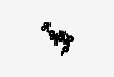 CC1(c2ccc(CCC(=O)O)cc2)C(=O)Nc2nc(-c3nn(Cc4ccc(F)cc4)c4ccccc34)nc(N)c21